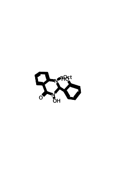 CCCCCCCCN1c2ccccc2C(=O)N(O)C1c1ccccc1O